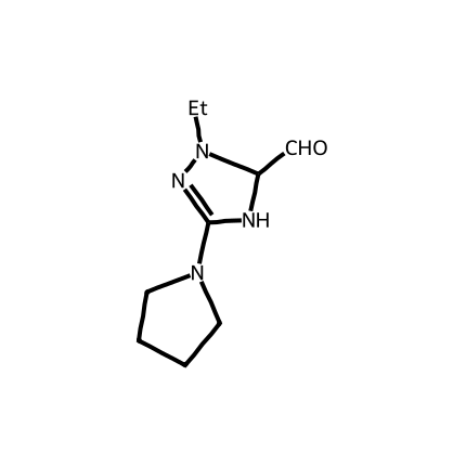 CCN1N=C(N2CCCC2)NC1C=O